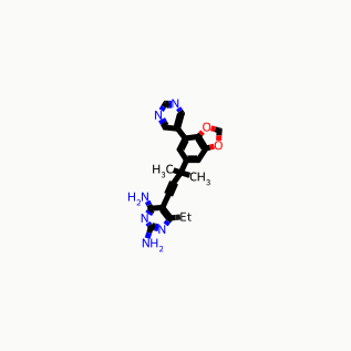 CCc1nc(N)nc(N)c1C#CC(C)(C)c1cc2c(c(-c3cncnc3)c1)OCO2